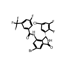 O=C(Nc1cc(Br)cc2c1[C@H](c1cc(Cl)cc(F)c1F)NC2=O)c1cc(F)cc(C(F)(F)F)c1